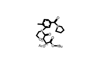 CC(=O)O[C@@H](C(=O)OC(C)(C)C)[C@H]1OCCN(c2cc(C(=O)N3CCCC3)ccc2C)C1=O